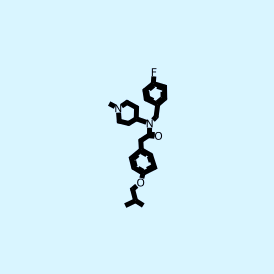 CC(C)COc1ccc(CC(=O)N(Cc2ccc(F)cc2)C2CCN(C)CC2)cc1